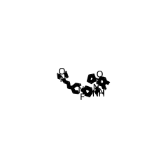 Cc1cc(=O)n(C2CCCC2)c2nc(Nc3ccc(N4CCC(CCCN5CCOCC5)CC4)c(F)c3)ncc12